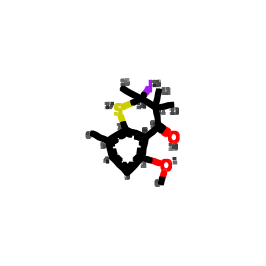 COc1ccc(C)c2c1C(=O)C(C)(C)C(C)(I)S2